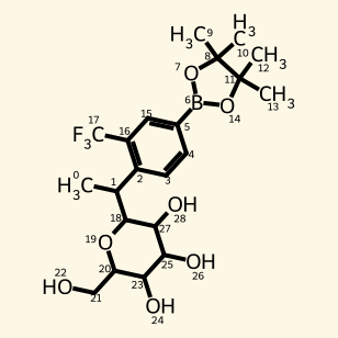 CC(c1ccc(B2OC(C)(C)C(C)(C)O2)cc1C(F)(F)F)C1OC(CO)C(O)C(O)C1O